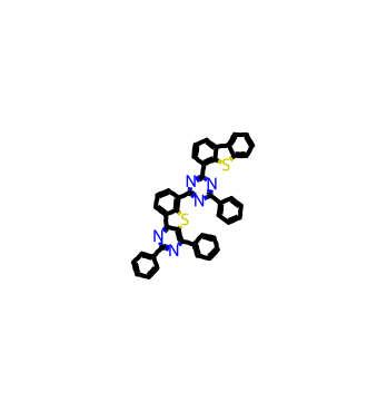 c1ccc(-c2nc(-c3cccc4c3sc3ccccc34)nc(-c3cccc4c3sc3c(-c5ccccc5)nc(-c5ccccc5)nc34)n2)cc1